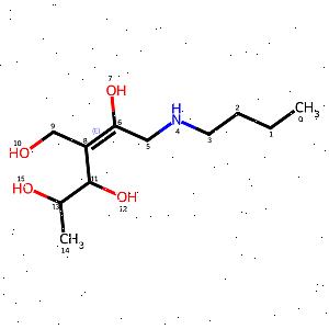 CCCCNC/C(O)=C(/CO)C(O)C(C)O